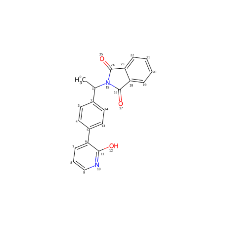 CC(c1ccc(-c2cccnc2O)cc1)N1C(=O)c2ccccc2C1=O